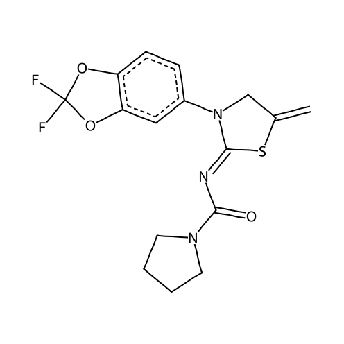 C=C1CN(c2ccc3c(c2)OC(F)(F)O3)/C(=N/C(=O)N2CCCC2)S1